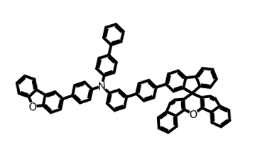 c1ccc(-c2ccc(N(c3ccc(-c4ccc5oc6ccccc6c5c4)cc3)c3cccc(-c4ccc(-c5ccc6c(c5)C5(c7ccccc7-6)c6ccc7ccccc7c6Oc6c5ccc5ccccc65)cc4)c3)cc2)cc1